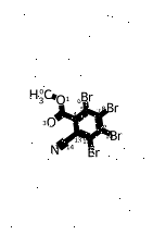 COC(=O)c1c(Br)c(Br)c(Br)c(Br)c1C#N